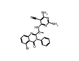 C[C@H](Nc1nc(N)nc(N)c1C#N)c1nc2cccc(Br)c2c(=O)n1-c1ccccc1